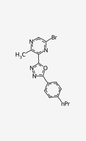 CCCc1ccc(-c2nnc(-c3nc(Br)cnc3C)o2)cc1